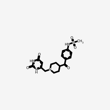 CS(=O)(=O)Nc1ccc(C(=O)C2CCN(Cc3cc(=O)[nH]c(=O)[nH]3)CC2)cc1